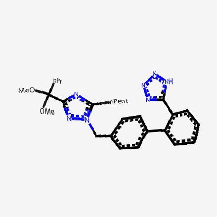 CCCCCc1nc(C(CCC)(OC)OC)nn1Cc1ccc(-c2ccccc2-c2nnn[nH]2)cc1